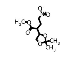 COC(=O)C(CC[N+](=O)[O-])C1COC(C)(C)O1